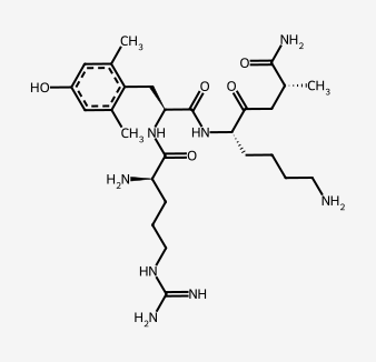 Cc1cc(O)cc(C)c1C[C@H](NC(=O)[C@H](N)CCCNC(=N)N)C(=O)N[C@@H](CCCCN)C(=O)C[C@@H](C)C(N)=O